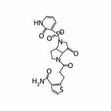 NC(=O)c1ccsc1C[CH]C(=O)N1CCC2C1C(=O)CN2S(=O)(=O)c1ccc[nH]c1=O